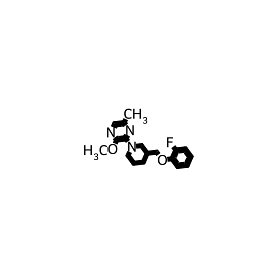 COc1ncc(C)nc1N1CCCC(COc2ccccc2F)C1